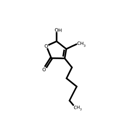 CCCCCC1=C(C)C(O)OC1=O